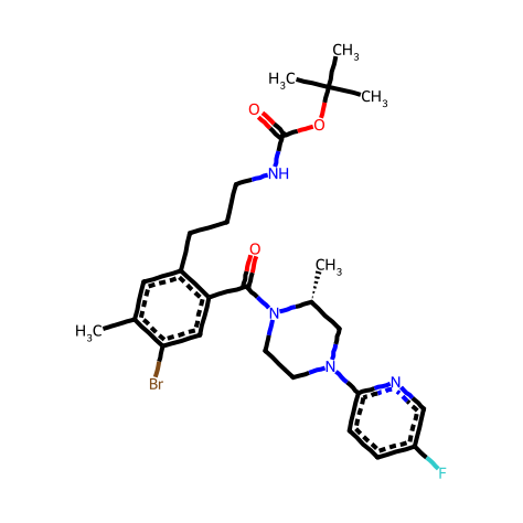 Cc1cc(CCCNC(=O)OC(C)(C)C)c(C(=O)N2CCN(c3ccc(F)cn3)C[C@H]2C)cc1Br